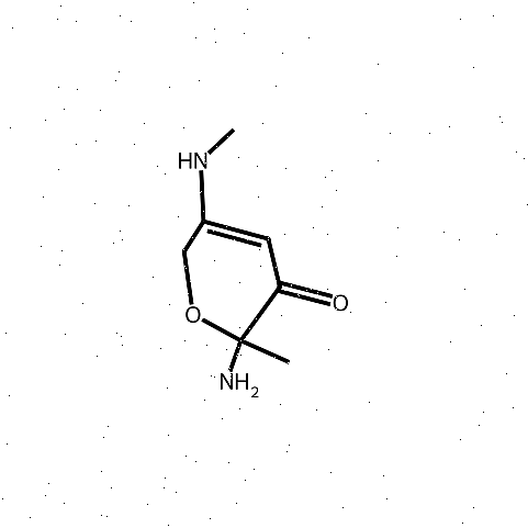 CNC1=CC(=O)C(C)(N)OC1